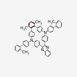 Cc1ccccc1-c1ccc(N(c2ccc(-c3ccccc3C)cc2)c2ccc(-c3nc4ccccc4nc3-c3ccc(N(c4ccc(-c5ccccc5C)cc4)c4ccc(-c5ccccc5C)cc4)cc3)cc2)cc1